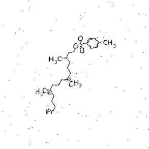 Cc1ccc(S(=O)(=O)OCCC(C)CCC[C@H](C)CCC[C@H](C)CCCC(C)C)cc1